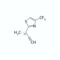 C#C[C@H](C)c1nc(C(F)(F)F)cs1